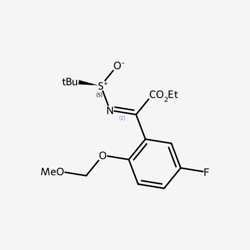 CCOC(=O)/C(=N\[S@+]([O-])C(C)(C)C)c1cc(F)ccc1OCOC